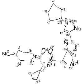 N#CC1CCN(C(=O)[C@H](NC(=O)c2c[nH]c3ncc(-c4cn(C5CCCC5)nn4)nc23)C2CC2)CC1